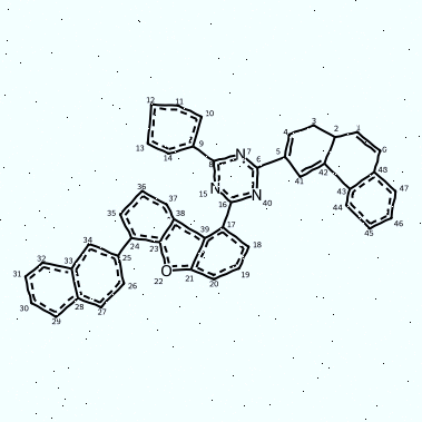 C1=CC2CC=C(c3nc(-c4ccccc4)nc(-c4cccc5oc6c(-c7ccc8ccccc8c7)cccc6c45)n3)C=C2c2ccccc21